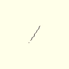 [O]=[SnH][CH2]CCCCCCCO